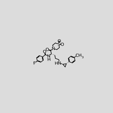 Cc1ccc([C@@H]2C[C@H]2NCCC[C@H](NC(=O)c2ccc(F)cc2)C(=O)N2CCS(=O)(=O)CC2)cc1